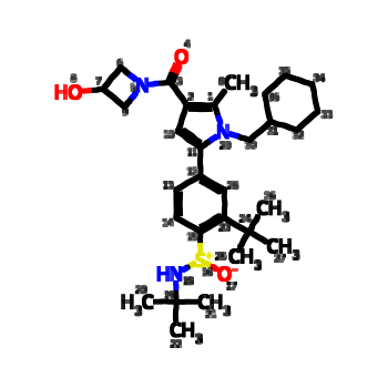 Cc1c(C(=O)N2CC(O)C2)cc(-c2ccc([S+]([O-])NC(C)(C)C)c(C(C)(C)C)c2)n1CC1CCCCC1